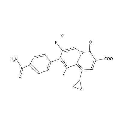 Cc1c(-c2ccc(C(N)=O)cc2)c(F)cn2c(=O)c(C(=O)[O-])cc(C3CC3)c12.[K+]